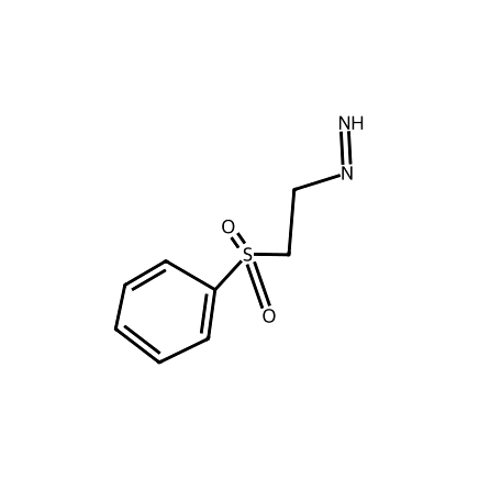 N=NCCS(=O)(=O)c1ccccc1